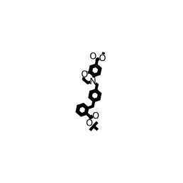 COC(=O)c1ccc2c(c1)OCCN2Cc1ccc(Cc2ccccc2C(=O)OC(C)(C)C)cc1